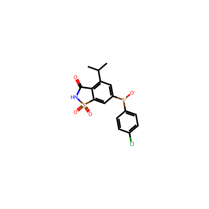 CC(C)c1cc([S+]([O-])c2ccc(Cl)cc2)cc2c1C(=O)NS2(=O)=O